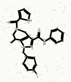 CC1CN(C(=O)c2ccc[nH]2)Cc2c(C(=O)Nc3ccccc3)nn(Cc3ccc(F)cc3)c21